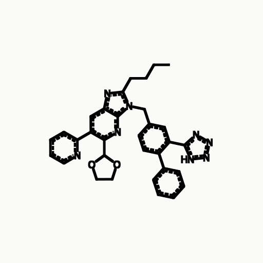 CCCCc1nc2cc(-c3ccccn3)c(C3OCCO3)nc2n1Cc1ccc(-c2ccccc2)c(-c2nnn[nH]2)c1